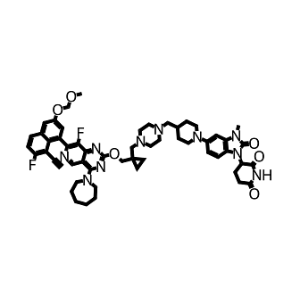 C#Cc1c(F)ccc2cc(OCOC)cc(-c3ncc4c(N5CCCCCC5)nc(OCC5(CN6CCN(CC7CCN(c8ccc9c(c8)n(C)c(=O)n9C8CCC(=O)NC8=O)CC7)CC6)CC5)nc4c3F)c12